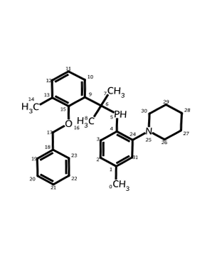 Cc1ccc(PC(C)(C)c2cccc(C)c2OCc2ccccc2)c(N2CCCCC2)c1